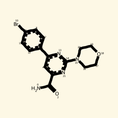 NC(=O)c1cc(-c2ccc(Br)cc2)nc(N2CCOCC2)n1